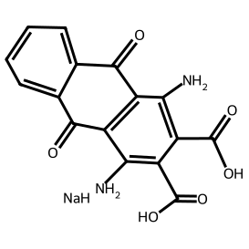 Nc1c(C(=O)O)c(C(=O)O)c(N)c2c1C(=O)c1ccccc1C2=O.[NaH]